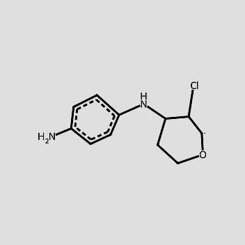 Nc1ccc(NC2CCO[CH]C2Cl)cc1